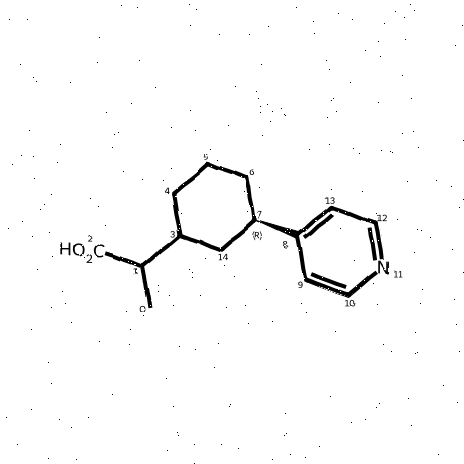 CC(C(=O)O)C1CCC[C@@H](c2ccncc2)C1